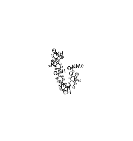 CNC(=O)COc1cc2cc(Nc3nc(N4CCC(C(=O)Nc5ccc6c([C@@]7(C)CCC(=O)NC7=O)nn(C)c6c5)CC4)ncc3Cl)ccc2n(C)c1=O